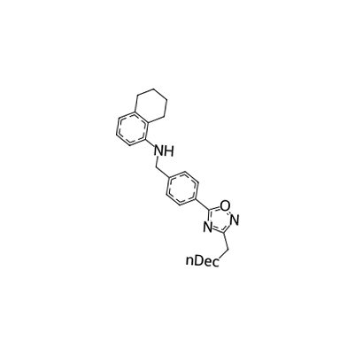 CCCCCCCCCCCc1noc(-c2ccc(CNc3cccc4c3CCCC4)cc2)n1